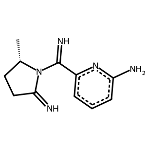 C[C@H]1CCC(=N)N1C(=N)c1cccc(N)n1